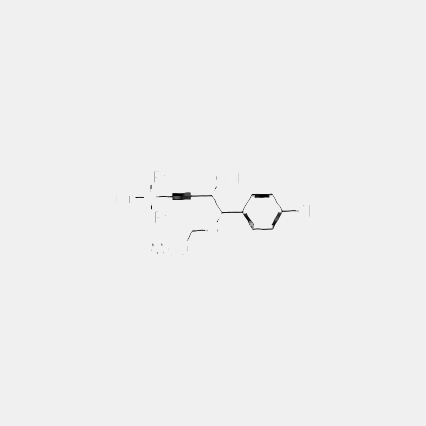 COCO[C@H](c1ccc(Cl)cc1)[C@H](O)C#C[Si](C(C)C)(C(C)C)C(C)C